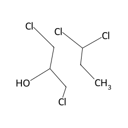 CCC(Cl)Cl.OC(CCl)CCl